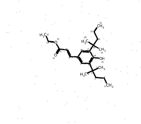 CCCC(C)(C)c1cc(/C=C/C(=O)OCC)cc(C(C)(C)CCC)c1O